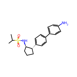 CC(C)S(=O)(=O)N[C@@H]1CCC[C@H]1c1ccc(-c2ccc(N)cc2)cc1